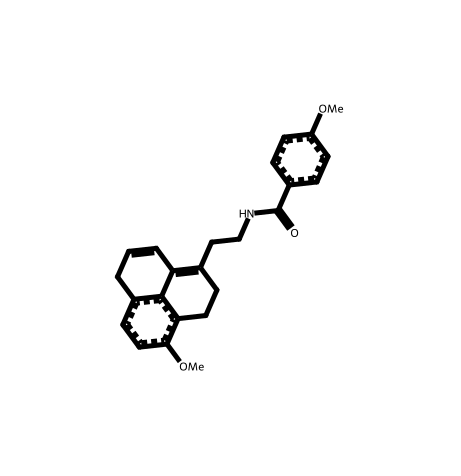 COc1ccc(C(=O)NCCC2=C3C=CCc4ccc(OC)c(c43)CC2)cc1